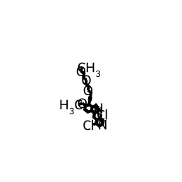 COCCOCCOCC#Cc1c(OC)ccc2c(Cc3c(Cl)cncc3Cl)nncc12